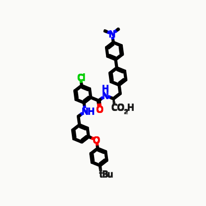 CN(C)c1ccc(-c2ccc(C[C@H](NC(=O)c3cc(Cl)ccc3NCc3cccc(Oc4ccc(C(C)(C)C)cc4)c3)C(=O)O)cc2)cc1